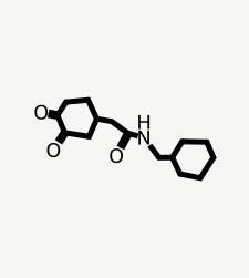 O=C(CC1CCC(=O)C(=O)C1)NCC1CCCCC1